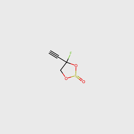 C#CC1(F)COS(=O)O1